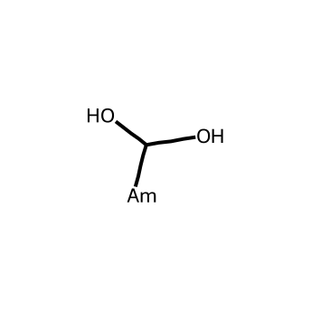 O[CH](O)[Am]